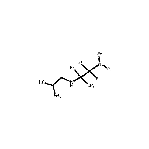 CCN(CC)C(CC)(CC)C(C)(CC)NCC(C)N